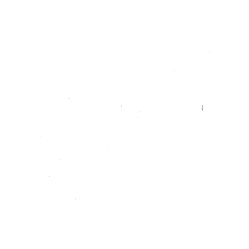 c1ccc(-c2nc3ccccc3c3c2ccc2c4cccc(-c5ccc6c(c5)C5(c7ccccc7-c7ccccc75)c5ccccc5-6)c4sc23)cc1